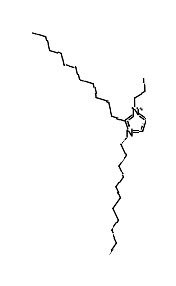 CCCCCCCCCCCc1n(CCCCCCCCCCC)cc[n+]1CCC